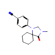 CN1CN(c2ccc(C#N)cc2)C2(CCCCC2)C1=O